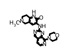 CN1CCc2[nH]c(=O)c(Nc3ncc4ccnc(N5CCOCC5)c4n3)cc2C1